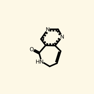 O=C1NCC=Cc2ncncc21